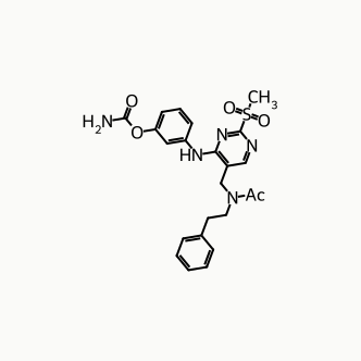 CC(=O)N(CCc1ccccc1)Cc1cnc(S(C)(=O)=O)nc1Nc1cccc(OC(N)=O)c1